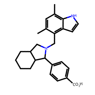 Cc1cc(C)c2[nH]ccc2c1CN1CC2CCCCC2C1c1ccc(C(=O)O)cc1